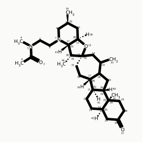 CC(=O)N(C)CCN1C[C@@H](C)C[C@H]2O[C@]3(CC[C@@H]4C(C[C@H]5[C@H]4CC[C@@H]4CC(=O)CC[C@@]45C)C(C)C3)[C@H](C)[C@@H]21